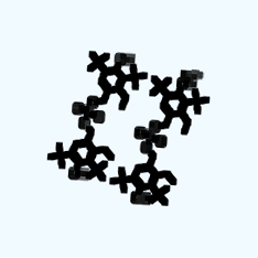 CCc1c(COP(=O)([O-])OCc2cc(C(C)(C)C)c(O)c(C(C)(C)C)c2CC)cc(C(C)(C)C)c(O)c1C(C)(C)C.CCc1c(COP(=O)([O-])OCc2cc(C(C)(C)C)c(O)c(C(C)(C)C)c2CC)cc(C(C)(C)C)c(O)c1C(C)(C)C.[Ni+2]